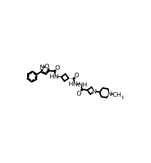 CN1CCC(N2CC(C(=O)NNC(=O)[C@H]3C[C@H](NC(=O)c4cc(-c5ccccc5)no4)C3)C2)CC1